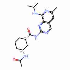 CC(=O)N[C@@H]1CCC[C@H](C(=O)Nc2ncc3cc(C)nc(NC(C)C)c3n2)C1